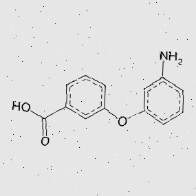 Nc1cccc(Oc2cccc(C(=O)O)c2)c1